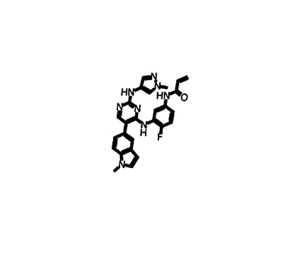 C=CC(=O)Nc1ccc(F)c(Nc2nc(Nc3cnn(C)c3)ncc2-c2ccc3c(ccn3C)c2)c1